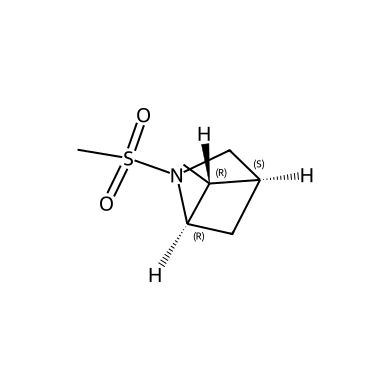 C[C@@H]1[C@@H]2C[C@H]1N(S(C)(=O)=O)C2